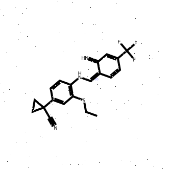 CCSc1cc(C2(C#N)CC2)ccc1N/C=C1/C=CC(C(F)(F)F)=CC1=N